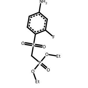 CCOP(=O)(CS(=O)(=O)c1ccc(N)cc1F)OCC